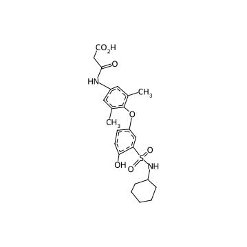 Cc1cc(NC(=O)CC(=O)O)cc(C)c1Oc1ccc(O)c(S(=O)(=O)NC2CCCCC2)c1